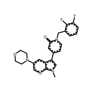 Cn1cc(-c2ccn(Cc3cccc(F)c3F)c(=O)c2)c2cc(N3CCOCC3)cnc21